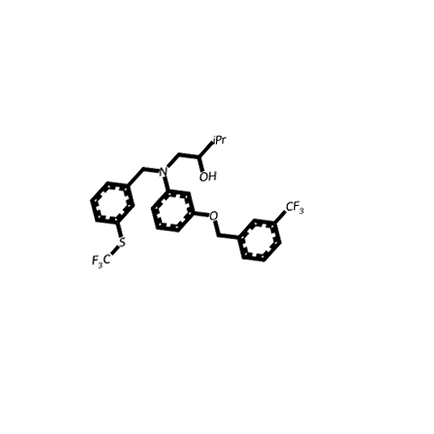 CC(C)C(O)CN(Cc1cccc(SC(F)(F)F)c1)c1cccc(OCc2cccc(C(F)(F)F)c2)c1